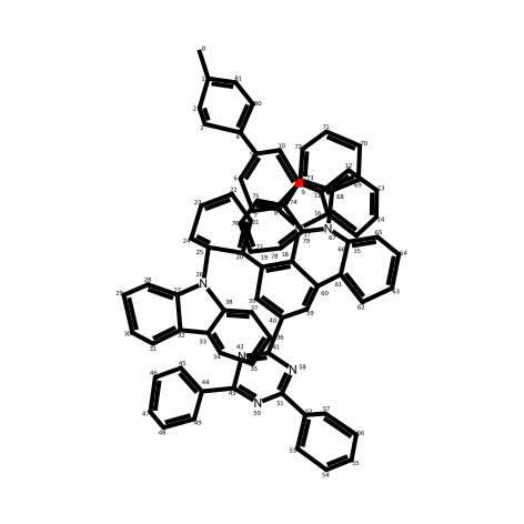 Cc1ccc(-c2ccc3c(c2)c2ccccc2n3-c2c(-c3ccccc3-n3c4ccccc4c4ccccc43)cc(-c3nc(-c4ccccc4)nc(-c4ccccc4)n3)cc2-c2ccccc2-n2c3ccccc3c3ccccc32)cc1